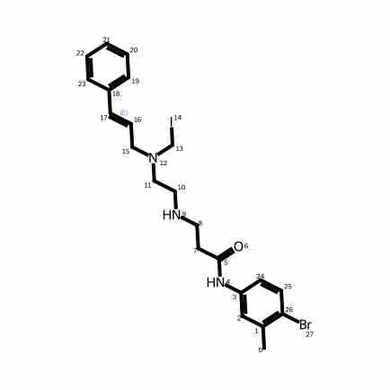 Cc1cc(NC(=O)CCNCCN(CI)C/C=C/c2ccccc2)ccc1Br